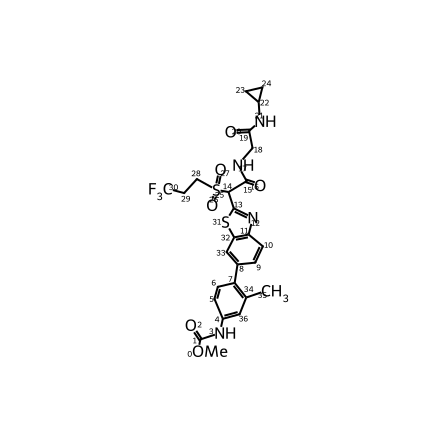 COC(=O)Nc1ccc(-c2ccc3nc(C(C(=O)NCC(=O)NC4CC4)S(=O)(=O)CCC(F)(F)F)sc3c2)c(C)c1